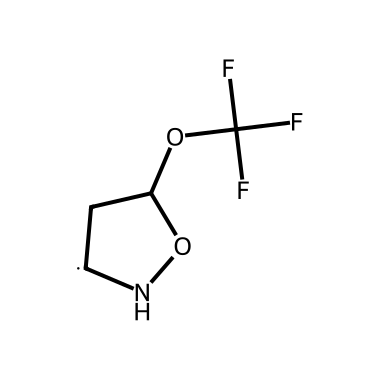 FC(F)(F)OC1C[CH]NO1